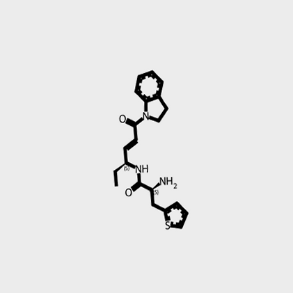 CC[C@@H](C=CC(=O)N1CCc2ccccc21)NC(=O)[C@@H](N)Cc1cccs1